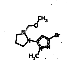 COC[C@H]1CCCN1c1cc(Br)nn1C